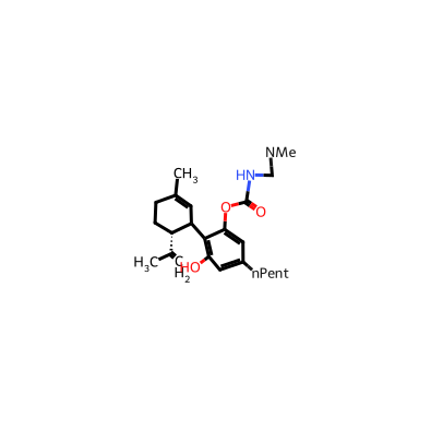 C=C(C)[C@@H]1CCC(C)=CC1c1c(O)cc(CCCCC)cc1OC(=O)NCNC